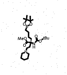 COC(=O)[C@@](CCCCB1OC(C)(C)C(C)(C)O1)(CCN1CCCCC1)NC(=O)OC(C)(C)C